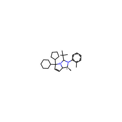 Cc1ccccc1N1C(C(C)(C)C)N2C(C=CC2(C2CCCCC2)C2CCCC2)[C@@H]1C